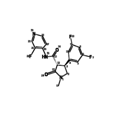 CN1C[C@H](c2cc(F)cc(F)c2)[C@@H](C(=O)Nc2ccncc2F)C1=O